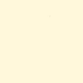 Cl.NCCOc1cccc(CO)c1